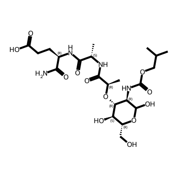 CC(C)COC(=O)N[C@H]1C(O)O[C@H](CO)[C@@H](O)[C@@H]1O[C@H](C)C(=O)N[C@@H](C)C(=O)N[C@H](CCC(=O)O)C(N)=O